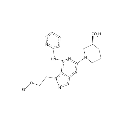 CCOCCn1ncc2nc(N3CCC[C@H](C(=O)O)C3)nc(Nc3ccccn3)c21